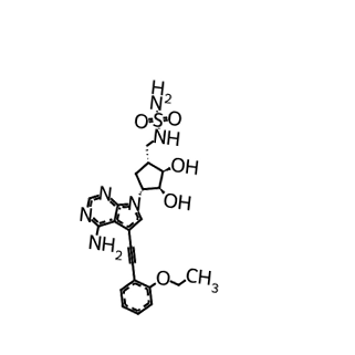 CCOc1ccccc1C#Cc1cn([C@@H]2C[C@H](CNS(N)(=O)=O)[C@@H](O)[C@H]2O)c2ncnc(N)c12